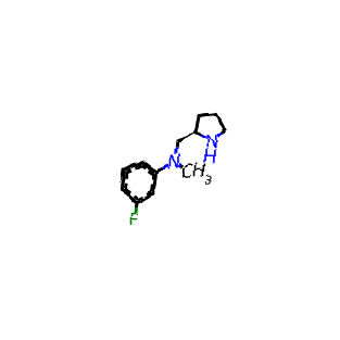 CN(C[C@H]1CCCN1)c1cccc(F)c1